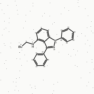 CCC(C)CNc1cccc2c1c(-c1ccccc1)nn2-c1ccccc1